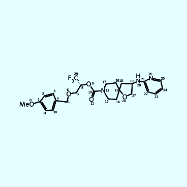 COc1ccc(COC[C@@H](OC(=O)N2CCC3(CC2)CC(Nc2ccccn2)CO3)C(F)(F)F)cc1